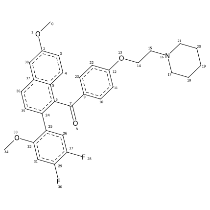 COc1ccc2c(C(=O)c3ccc(OCCN4CCCCC4)cc3)c(-c3cc(F)c(F)cc3OC)ccc2c1